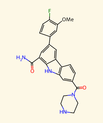 COc1cc(-c2cc(C(N)=O)c3[nH]c4cc(C(=O)N5CCNCC5)ccc4c3c2)ccc1F